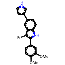 COc1ccc(-c2[nH]c3ccc(-c4cc[nH]c4)cc3c2C(C)C)cc1OC